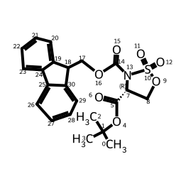 CC(C)(C)OC(=O)[C@H]1COS(=O)(=O)N1C(=O)OCC1c2ccccc2-c2ccccc21